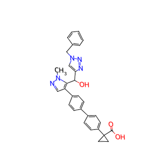 Cn1ncc(-c2ccc(-c3ccc(C4(C(=O)O)CC4)cc3)cc2)c1C(O)c1cn(Cc2ccccc2)nn1